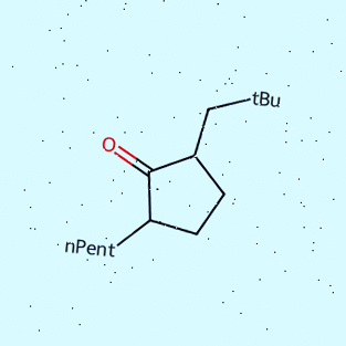 CCCCCC1CCC(CC(C)(C)C)C1=O